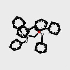 c1ccc(O[Si](C[Si](Oc2ccccc2)(Oc2ccccc2)Oc2ccccc2)(Oc2ccccc2)Oc2ccccc2)cc1